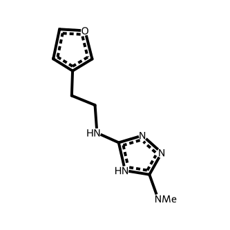 CNc1nnc(NCCc2ccoc2)[nH]1